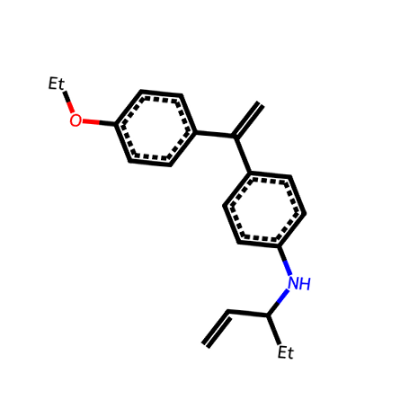 C=CC(CC)Nc1ccc(C(=C)c2ccc(OCC)cc2)cc1